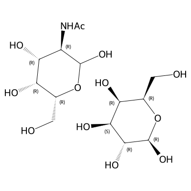 CC(=O)N[C@H]1C(O)O[C@H](CO)[C@H](O)[C@@H]1O.OC[C@H]1O[C@@H](O)[C@H](O)[C@@H](O)[C@H]1O